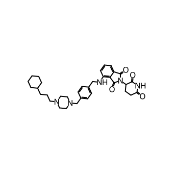 O=C1CCC(N2C(=O)c3cccc(NCc4ccc(CN5CCN(CCCC6CCCCC6)CC5)cc4)c3C2=O)C(=O)N1